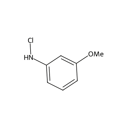 COc1cccc(NCl)c1